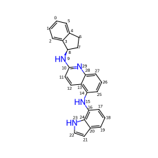 c1ccc2c(c1)CC[C@H]2Nc1ccc2c(Nc3cccc4cc[nH]c34)cccc2n1